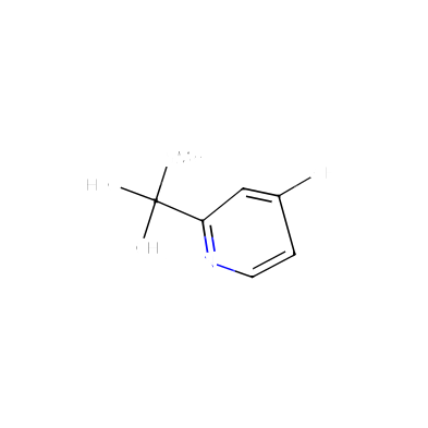 CSC(C)(C)c1cc(C(F)(F)F)ccn1